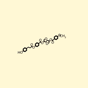 COc1ccc(C(=O)O[C@@H]2COC3C2OC[C@H]3OC(=O)c2ccc(OC(=O)CCc3ccc(O)cc3)cc2)cc1